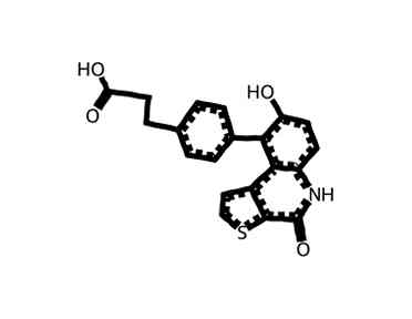 O=C(O)CCc1ccc(-c2c(O)ccc3[nH]c(=O)c4sccc4c23)cc1